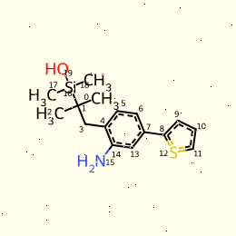 CC(C)(Cc1ccc(-c2cccs2)cc1N)[Si](C)(C)O